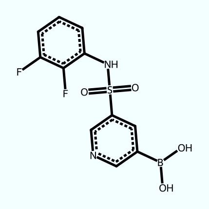 O=S(=O)(Nc1cccc(F)c1F)c1cncc(B(O)O)c1